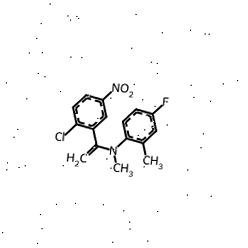 C=C(c1cc([N+](=O)[O-])ccc1Cl)N(C)c1ccc(F)cc1C